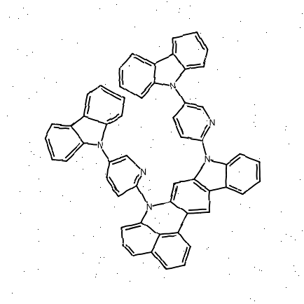 c1cc2c3c(cccc3c1)N(c1ccc(-n3c4ccccc4c4ccccc43)cn1)c1cc3c(cc1-2)c1ccccc1n3-c1ccc(-n2c3ccccc3c3ccccc32)cn1